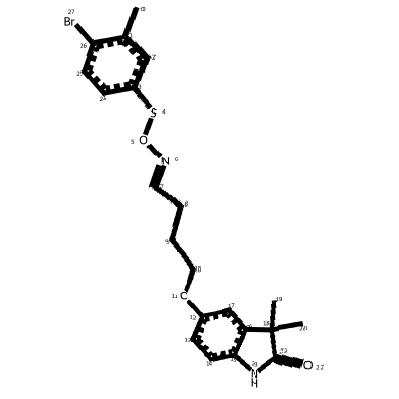 Cc1cc(SON=CCCCOc2ccc3c(c2)C(C)(C)C(=O)N3)ccc1Br